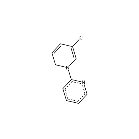 ClC1=CN(c2ccccn2)CC=C1